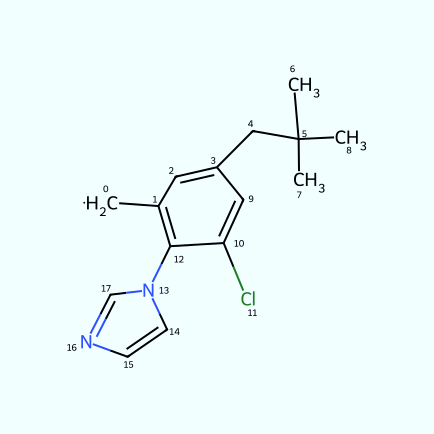 [CH2]c1cc(CC(C)(C)C)cc(Cl)c1-n1ccnc1